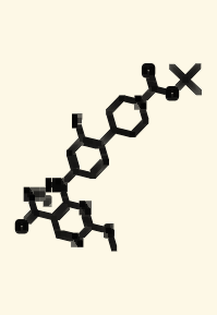 CSc1ncc(C(N)=O)c(Nc2ccc(C3CCN(C(=O)OC(C)(C)C)CC3)c(F)c2)n1